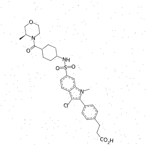 C[C@H]1COCCN1C(=O)C1CCC(NS(=O)(=O)c2ccc3c(Cl)c(-c4ccc(CCC(=O)O)cc4)n(C)c3c2)CC1